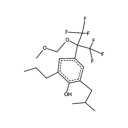 CCCc1cc(C(OCOC)(C(F)(F)F)C(F)(F)F)cc(CC(C)C)c1O